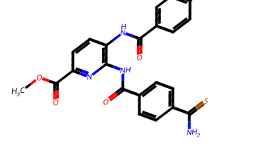 COC(=O)c1ccc(NC(=O)c2ccc(OC)cc2)c(NC(=O)c2ccc(C(N)=S)cc2)n1